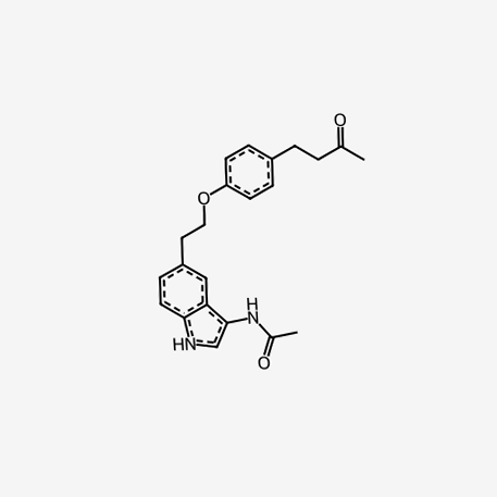 CC(=O)CCc1ccc(OCCc2ccc3[nH]cc(NC(C)=O)c3c2)cc1